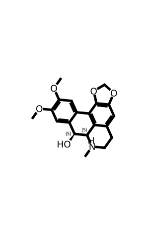 COc1cc2c(cc1OC)[C@H](O)[C@@H]1c3c(cc4c(c3-2)OCO4)CCN1C